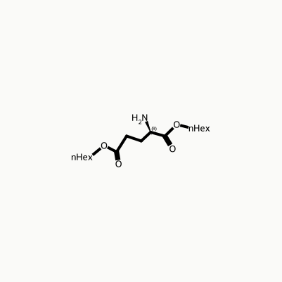 CCCCCCOC(=O)CC[C@@H](N)C(=O)OCCCCCC